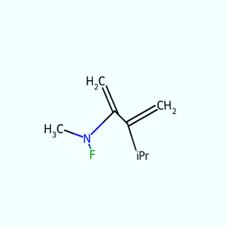 C=C(C(=C)N(C)F)C(C)C